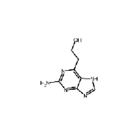 Nc1nc(CCO)c2[nH]cnc2n1